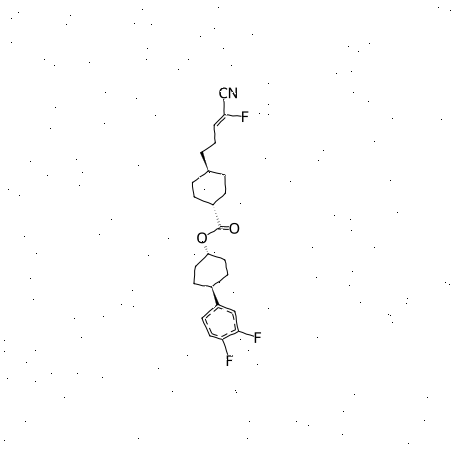 N#CC(F)=CCC[C@H]1CC[C@H](C(=O)O[C@H]2CC[C@H](c3ccc(F)c(F)c3)CC2)CC1